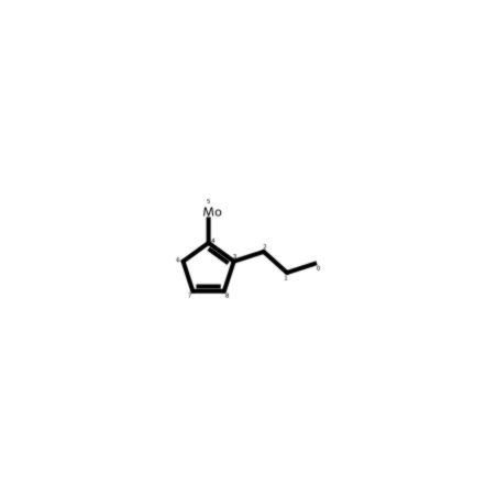 CCCC1=[C]([Mo])CC=C1